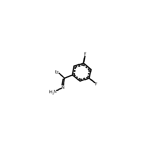 CCC(=NN)c1cc(F)cc(F)c1